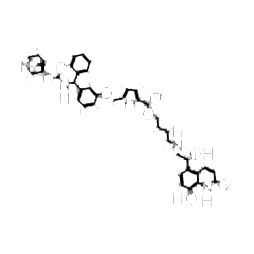 O=C(NC(c1ccccc1)c1cccc(OCc2ccc(C(=O)OCCCCNCC(O)c3ccc(O)c4[nH]c(=O)ccc34)o2)c1)OC1CN2CCC1CC2